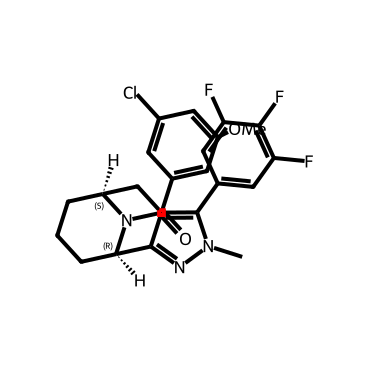 COc1cc(Cl)cc(C(=O)N2[C@H]3CCC[C@@H]2c2nn(C)c(-c4cc(F)c(F)c(F)c4)c2C3)c1